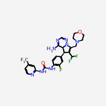 NC1=NC=NN2C(CN3CCOCC3)=C(C(F)F)C(c3ccc(NC(=O)Nc4cc(C(F)(F)F)ccn4)c(F)c3)C12